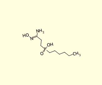 CCCCCCP(=O)(O)CCC(N)=NO